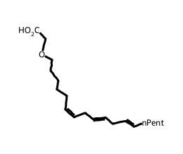 CCCCCC=CCC=CC/C=C\CCCCCOCC(=O)O